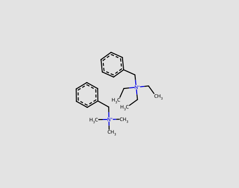 CC[N+](CC)(CC)Cc1ccccc1.C[N+](C)(C)Cc1ccccc1